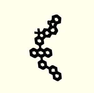 CC1(C)c2ccc(-c3c4ccccc4c(-c4cccc(-c5ccc6ccccc6c5)c4)c4ccccc34)cc2-c2cc3ccc4c5ccccc5oc4c3cc21